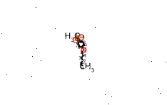 CCCCCCOc1[c]cc(S(C)(=O)=O)cc1